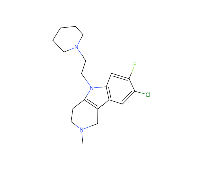 CN1CCc2c(c3cc(Cl)c(F)cc3n2CCN2CCCCC2)C1